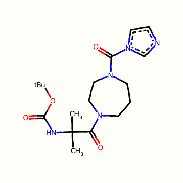 CC(C)(C)OC(=O)NC(C)(C)C(=O)N1CCCN(C(=O)n2ccnc2)CC1